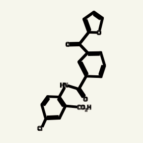 O=C(Nc1ccc(Cl)cc1C(=O)O)c1cccc(C(=O)c2ccco2)c1